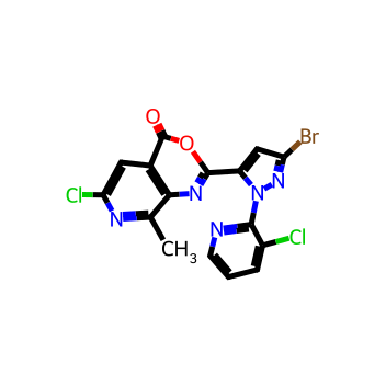 Cc1nc(Cl)cc2c(=O)oc(-c3cc(Br)nn3-c3ncccc3Cl)nc12